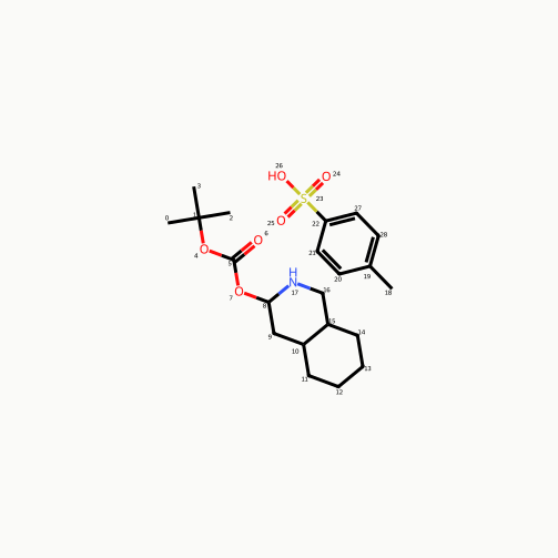 CC(C)(C)OC(=O)OC1CC2CCCCC2CN1.Cc1ccc(S(=O)(=O)O)cc1